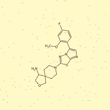 COc1cc(F)ccc1-c1cnc2sc(N3CCC4(CC3)COCC4N)nn12